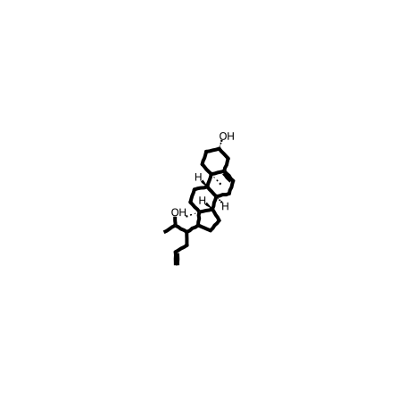 C=CCC(C(C)O)C1CC[C@H]2[C@@H]3CC=C4C[C@@H](O)CC[C@]4(C)[C@H]3CC[C@]12C